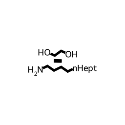 C=C.CCCCCCCCCCCN.OCCO